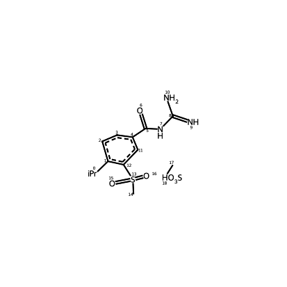 CC(C)c1ccc(C(=O)NC(=N)N)cc1S(C)(=O)=O.CS(=O)(=O)O